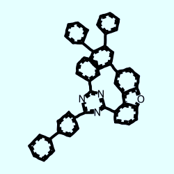 c1ccc(-c2ccc(-c3nc(-c4ccccc4)nc(-c4cccc5oc6ccc(-c7ccc(-c8ccccc8)c(-c8ccccc8)c7)cc6c45)n3)cc2)cc1